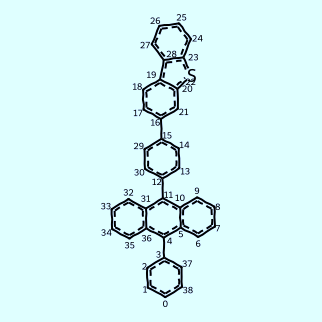 c1ccc(-c2c3ccccc3c(-c3ccc(-c4ccc5c(c4)sc4ccccc45)cc3)c3ccccc23)cc1